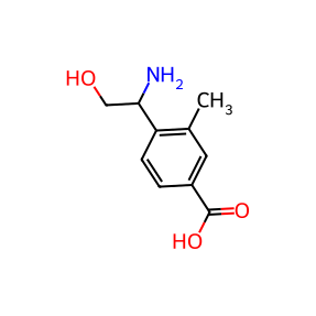 Cc1cc(C(=O)O)ccc1C(N)CO